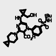 CC(C)(C)NS(=O)(=O)c1cccc(N2C=C(NC3(CO)CC3)N=C(N3CCC4(CC3)CC4)C2C(=O)O)c1